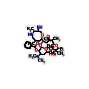 CC[C@@H](OC(=O)[C@H](C)C(=O)[C@H](C)[C@@H](OC1OC(C)CC(N(C)C)C1OC(=O)c1ccccc1)[C@@]1(C)C[C@@H](C)CN[C@H](C)C(=N)CO1)C(C)(C)O